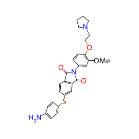 COc1cc(N2C(=O)c3ccc(Sc4ccc(N)cc4)cc3C2=O)ccc1OCCN1CCCC1